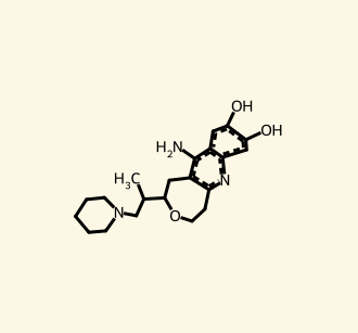 CC(CN1CCCCC1)C1Cc2c(nc3cc(O)c(O)cc3c2N)CCO1